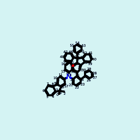 CC1(C)c2ccccc2-c2ccc(N(c3ccccc3)c3cccc(-c4ccccc4)c3-c3ccc4c(c3)-c3ccccc3C4(c3ccccc3)c3ccccc3)cc21